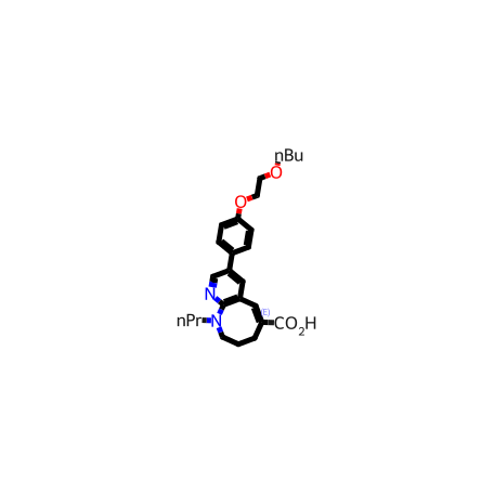 CCCCOCCOc1ccc(-c2cnc3c(c2)/C=C(/C(=O)O)CCCN3CCC)cc1